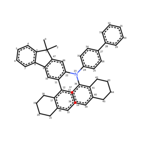 CC1(C)c2ccccc2-c2cc(-c3cccc4c3CCCC4)c(N(c3ccc(-c4ccccc4)cc3)c3cccc4c3CCCC4)cc21